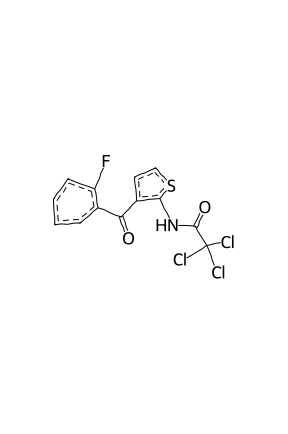 O=C(c1ccccc1F)c1ccsc1NC(=O)C(Cl)(Cl)Cl